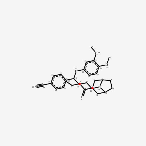 CCOC(=O)N1CC2CCC(C1)N2CCCC(Oc1ccc(OC)c(OC)c1)c1ccc(C#N)cc1